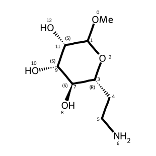 COC1O[C@H](CCN)[C@@H](O)[C@H](O)[C@@H]1O